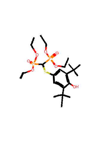 CCOP(=O)(OCC)C(Sc1cc(C(C)(C)C)c(O)c(C(C)(C)C)c1)P(=O)(OCC)OCC